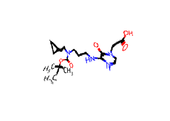 CC(C)(C)OC(=O)N(CCCNc1nccn(CC(=O)O)c1=O)CC1CC1